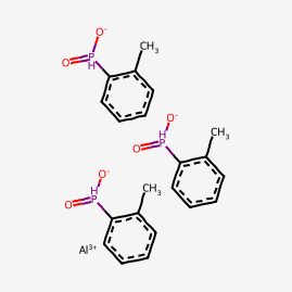 Cc1ccccc1[PH](=O)[O-].Cc1ccccc1[PH](=O)[O-].Cc1ccccc1[PH](=O)[O-].[Al+3]